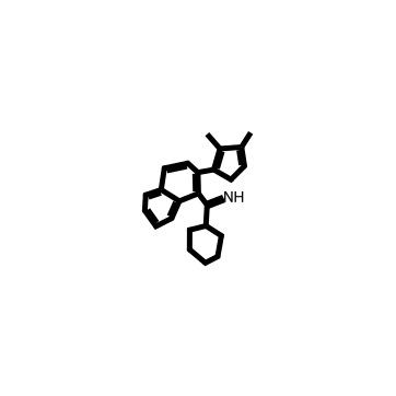 CC1=CCC(c2ccc3ccccc3c2C(=N)C2CCCCC2)=C1C